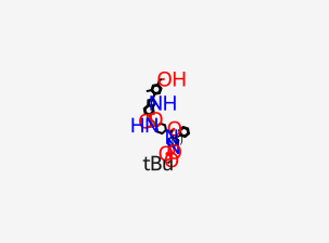 Cc1cc(CO)ccc1-c1cc2ccc(S(=O)(=O)N[C@H]3CC[C@H](C(=O)N4CCN(OC(=O)OC(C)(C)C)C[C@@H]4c4ccccc4)CC3)cc2[nH]1